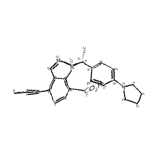 CC#Cc1ccc(C(=O)O)c2c1cnn2[C@H](C)c1ccc(N2CCCC2)cc1